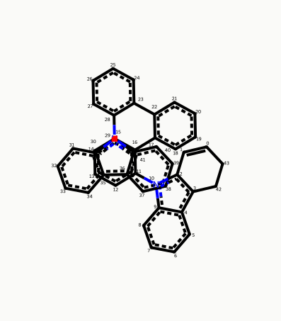 C1=Cc2c(c3ccccc3n2-c2ccccc2-c2ccccc2-c2ccccc2-n2c3ccccc3c3ccccc32)CC1